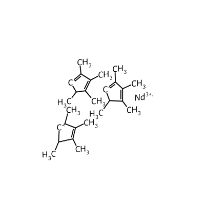 CC1=[C-]C(C)C(C)=C1C.CC1=[C-]C(C)C(C)=C1C.CC1=[C-]C(C)C(C)=C1C.[Nd+3]